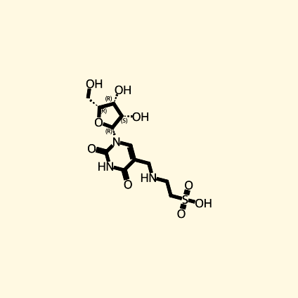 O=c1[nH]c(=O)n([C@@H]2O[C@H](CO)[C@H](O)[C@@H]2O)cc1CNCCS(=O)(=O)O